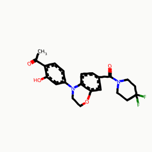 CC(=O)c1ccc(N2CCOc3cc(C(=O)N4CCC(F)(F)CC4)ccc32)cc1O